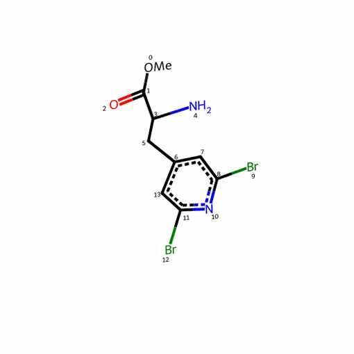 COC(=O)C(N)Cc1cc(Br)nc(Br)c1